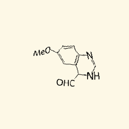 COc1ccc2c(c1)C(C=O)NC=N2